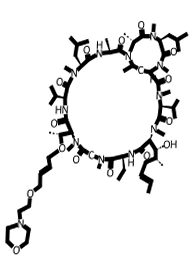 C/C=C/C[C@@H](C)[C@@H](O)[C@@H]1C(=O)N[C@@H](CC)C(=O)N(C)CC(=O)N(C)[C@@H]([C@@H](C)OC/C=C/COCCN2CCOCC2)C(=O)N[C@@H](C(C)C)C(=O)N(C)[C@@H](CC(C)C)C(=O)N[C@@H](C)C(=O)N2C(C)C[C@@H](C(=O)N(C)[C@@H](C(C)C)C(=O)N1C)N(C)C(=O)[C@H](CC(C)C)N(C)C(=O)[C@H]2C